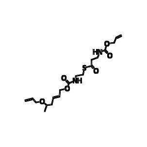 C=CCOC(=O)NCCC(=O)SCCNC(=O)OC/C=C/CC(C)OCC=C